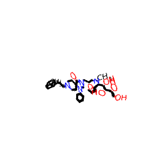 CN(CCCN1CN(c2ccccc2)C2(CCN(CCC3CCC4CC3C4(C)C)CC2)C1=O)C(c1ccco1)C(O)C(O)C(O)CO